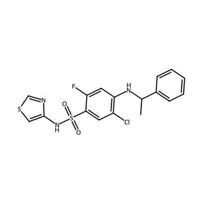 CC(Nc1cc(F)c(S(=O)(=O)Nc2cscn2)cc1Cl)c1ccccc1